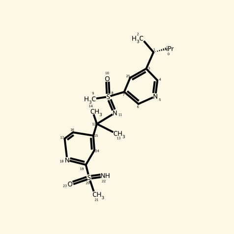 CC(C)[C@@H](C)c1cncc(S(C)(=O)=NC(C)(C)c2ccnc(S(C)(=N)=O)c2)c1